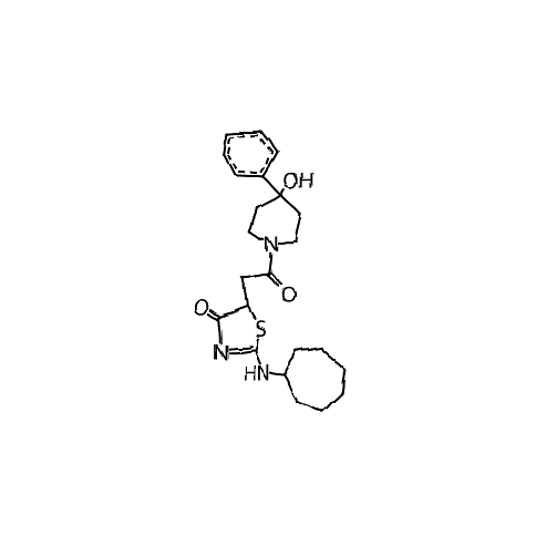 O=C1N=C(NC2CCCCCC2)SC1CC(=O)N1CCC(O)(c2ccccc2)CC1